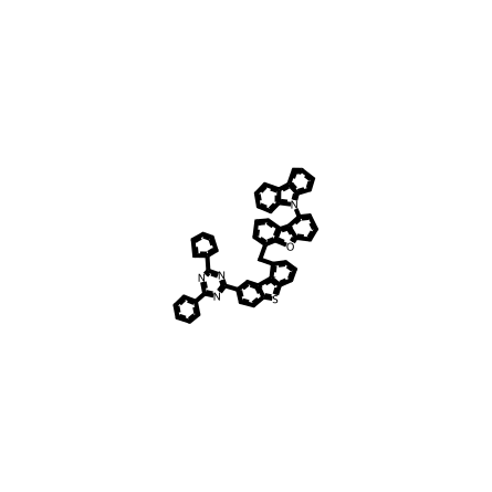 c1ccc(-c2nc(-c3ccccc3)nc(-c3ccc4sc5cccc(Cc6cccc7c6oc6cccc(-n8c9ccccc9c9ccccc98)c67)c5c4c3)n2)cc1